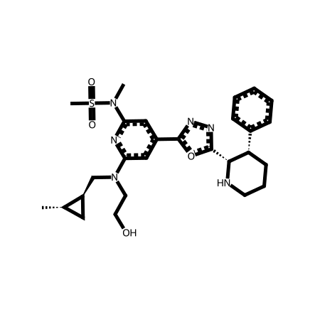 C[C@H]1C[C@@H]1CN(CCO)c1cc(-c2nnc([C@H]3NCCC[C@H]3c3ccccc3)o2)cc(N(C)S(C)(=O)=O)n1